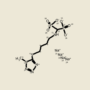 Cn1nnnc1SCCCCNC(P(=O)([O-])[O-])P(=O)([O-])[O-].[Na+].[Na+].[Na+].[Na+]